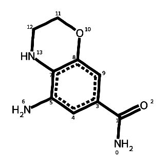 NC(=O)c1cc(N)c2c(c1)OCCN2